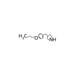 CCCCCOc1ccc(CC2CCNCC2)cc1